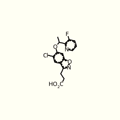 CC(Oc1cc2onc(CCC(=O)O)c2cc1Cl)c1ncccc1F